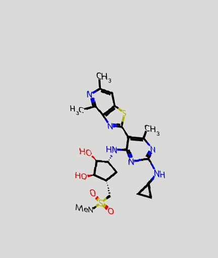 CNS(=O)(=O)C[C@H]1C[C@@H](Nc2nc(NC3CC3)nc(C)c2-c2nc3c(C)nc(C)cc3s2)[C@H](O)[C@@H]1O